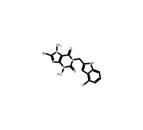 Cn1c(Br)nc2c1c(=O)n(Cc1cc3c(Cl)cccc3[nH]1)c(=O)n2C